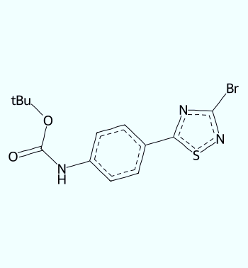 CC(C)(C)OC(=O)Nc1ccc(-c2nc(Br)ns2)cc1